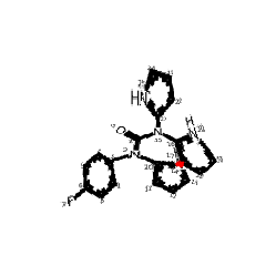 O=C(N(c1ccc(F)cc1)c1ccc[nH]1)N(c1ccc[nH]1)c1ccc[nH]1